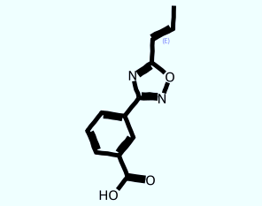 C/C=C/c1nc(-c2cccc(C(=O)O)c2)no1